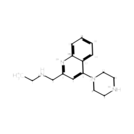 CCNCc1cc(N2CCNCC2)c2ccccc2n1